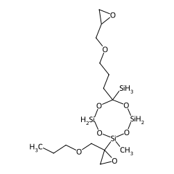 CCCOCC1([Si]2(C)O[SiH2]OC([SiH3])(CCCOCC3CO3)O[SiH2]O2)CO1